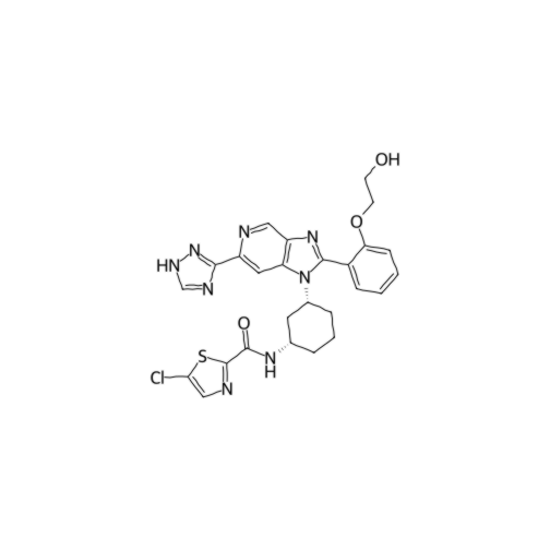 O=C(N[C@H]1CCC[C@@H](n2c(-c3ccccc3OCCO)nc3cnc(-c4nc[nH]n4)cc32)C1)c1ncc(Cl)s1